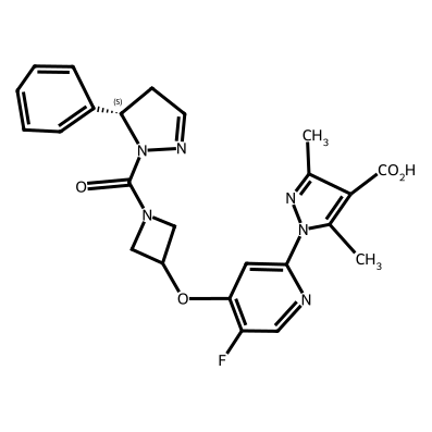 Cc1nn(-c2cc(OC3CN(C(=O)N4N=CC[C@H]4c4ccccc4)C3)c(F)cn2)c(C)c1C(=O)O